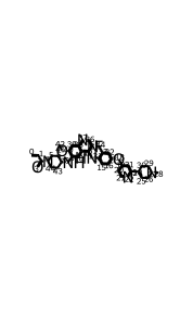 C=CC(=O)N1CCC(Nc2cc3c(Nc4ccc(Oc5ccnc(C6=CCN(C)CC6)c5)cc4F)ncnc3cc2OC)CC1